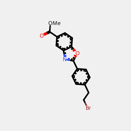 COC(=O)c1ccc2oc(-c3ccc(CCBr)cc3)nc2c1